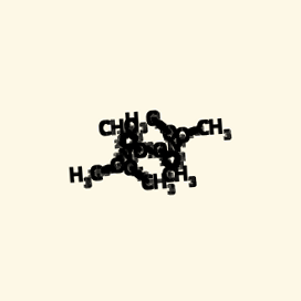 CC#COCN(COC#CC)c1ccc(C)cc1OCCOc1cc(C=O)ccc1N(COC#CC)COC#CC